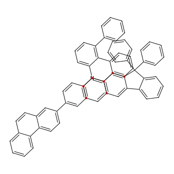 c1ccc(-c2ccccc2-c2c(-c3ccccc3)cccc2N(c2ccc(-c3ccc4c(ccc5ccccc54)c3)cc2)c2ccc3c(c2)C(c2ccccc2)(c2ccccc2)c2ccccc2-3)cc1